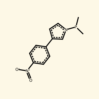 CP(C)n1ccc(-c2ccc([N+](=O)[O-])cc2)c1